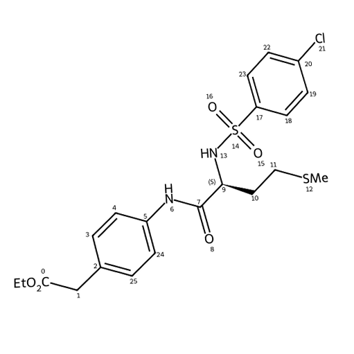 CCOC(=O)Cc1ccc(NC(=O)[C@H](CCSC)NS(=O)(=O)c2ccc(Cl)cc2)cc1